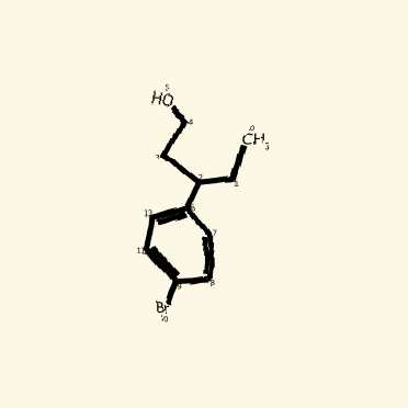 CCC(CCO)c1ccc(Br)cc1